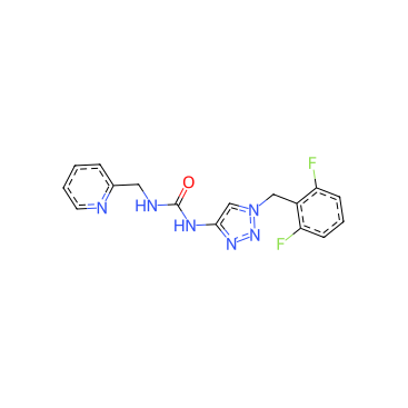 O=C(NCc1ccccn1)Nc1cn(Cc2c(F)cccc2F)nn1